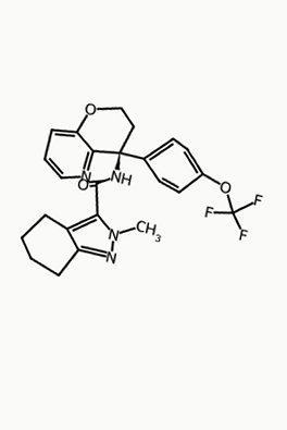 Cn1nc2c(c1C(=O)N[C@]1(c3ccc(OC(F)(F)F)cc3)CCOc3cccnc31)CCCC2